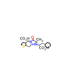 C[C@H](NC(Cc1ccccc1)C(=O)O)C(=O)N1CCc2sccc2C1C(=O)O